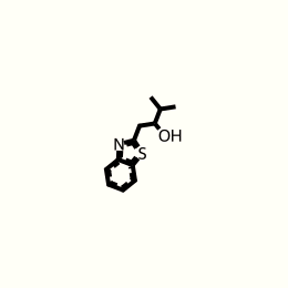 CC(C)C(O)Cc1nc2ccccc2s1